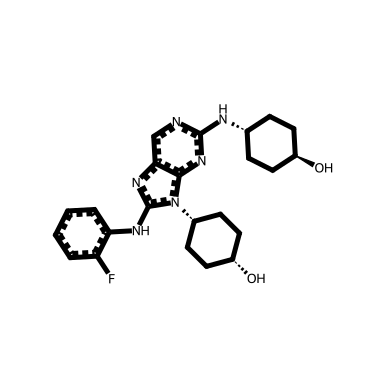 O[C@H]1CC[C@H](Nc2ncc3nc(Nc4ccccc4F)n([C@H]4CC[C@@H](O)CC4)c3n2)CC1